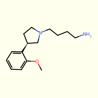 COc1ccccc1[C@H]1CCN(CCCCN)C1